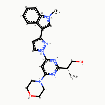 CO[C@@H](CO)c1nc(N2CCOCC2)cc(-n2ccc(-c3cn(C)c4ccccc34)n2)n1